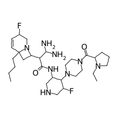 CCCCC12C=CC(F)CN1C(C(C(=O)NC1CNCC(F)C1N1CCN(C(=O)C3CCCN3CC)CC1)C(N)N)C2